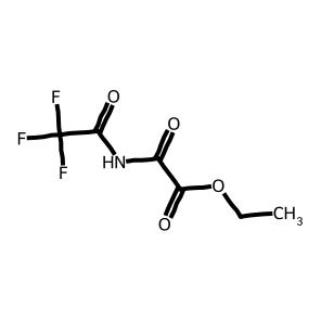 CCOC(=O)C(=O)NC(=O)C(F)(F)F